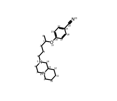 CC(CCCN1CCN2CCCCC2C1)Oc1ccc(C#N)cc1